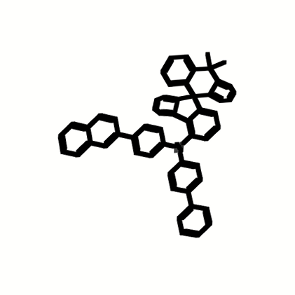 CC1(C)c2ccccc2C2(c3ccccc3-c3c(N(c4ccc(-c5ccccc5)cc4)c4ccc(-c5ccc6ccccc6c5)cc4)cccc32)c2ccccc21